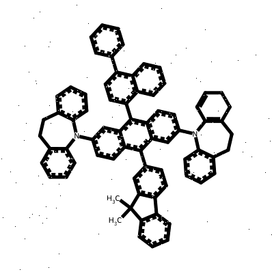 CC1(C)c2ccccc2-c2ccc(-c3c4cc(N5C6=C(CCC=C6)CCc6ccccc65)ccc4c(-c4ccc(-c5ccccc5)c5ccccc45)c4cc(N5c6ccccc6CCc6ccccc65)ccc34)cc21